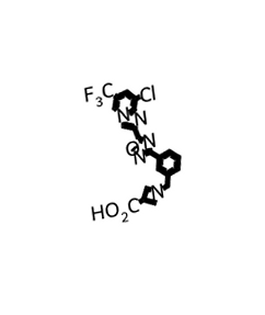 O=C(O)C1CN(Cc2cccc(-c3noc(-c4cn5cc(C(F)(F)F)cc(Cl)c5n4)n3)c2)C1